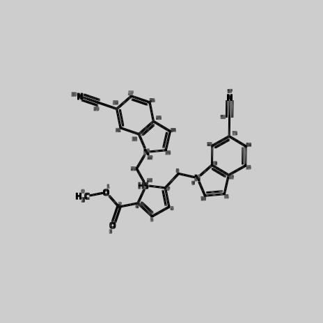 COC(=O)C1=CC=C(Cn2ccc3ccc(C#N)cc32)[SH]1Cn1ccc2ccc(C#N)cc21